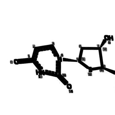 O=c1ccn([C@@H]2C[C@H](O)[C@@H](CO)S2)c(=O)[nH]1